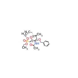 CCOP(=O)(C[C@H]1O[C@H](CC)[C@@H](C)[C@H](OCc2ccccc2)[C@H]1NC(C)=O)OCC